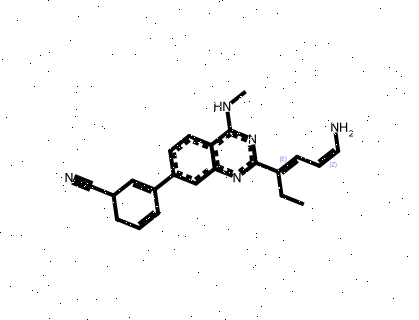 CC/C(=C\C=C/N)c1nc(NC)c2ccc(C3=CC(C#N)CC=C3)cc2n1